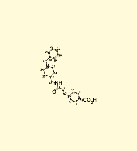 O=C(/C=C/c1ccc(C(=O)O)cc1)NCC1CCN(Cc2ccccc2)CC1